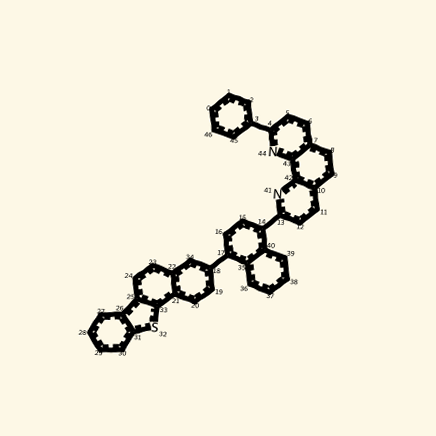 c1ccc(-c2ccc3ccc4ccc(-c5ccc(-c6ccc7c(ccc8c9ccccc9sc78)c6)c6ccccc56)nc4c3n2)cc1